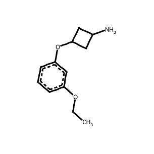 CCOc1cccc(OC2CC(N)C2)c1